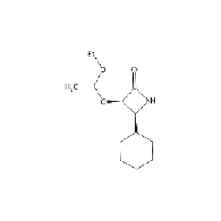 CCOC(C)O[C@H]1C(=O)N[C@H]1C1CCCCC1